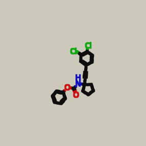 O=C(NC1(C#Cc2ccc(Cl)c(Cl)c2)CCCC1)Oc1ccccc1